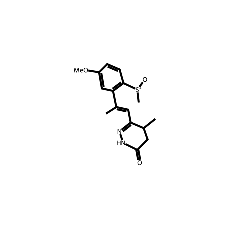 COc1ccc([S+](C)[O-])c(C(C)=CC2=NNC(=O)CC2C)c1